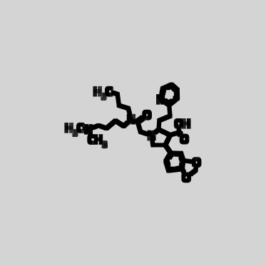 CCCCN(CCCCN(C)C)C(=O)CN1CC(c2ccc3c(c2)OCO3)C(C(=O)O)C1CCc1ccccn1